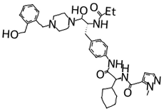 CCC(=O)N[C@H](Cc1ccc(NC(=O)[C@@H](NC(=O)c2ccnn2C)C2CCCCC2)cc1)C(O)N1CCN(Cc2ccccc2CO)CC1